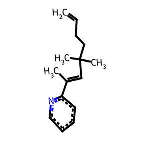 C=CCCC(C)(C)/C=C(\C)c1ccccn1